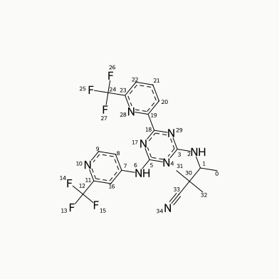 CC(Nc1nc(Nc2ccnc(C(F)(F)F)c2)nc(-c2cccc(C(F)(F)F)n2)n1)C(C)(C)C#N